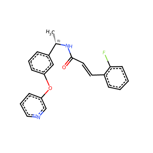 C[C@H](NC(=O)C=Cc1ccccc1F)c1cccc(Oc2cccnc2)c1